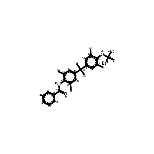 CCC(C)(CC)Oc1c(C)cc(C(C)(C)c2cc(C)c(OC(=O)c3ccccc3)c(C)c2)cc1C